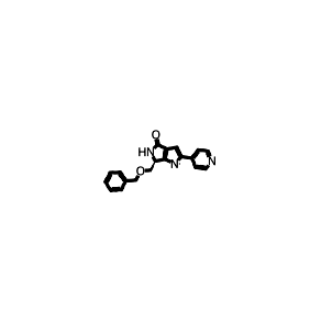 O=C1N[C@H](COCc2ccccc2)C2=C1C=C(c1ccncc1)[N]2